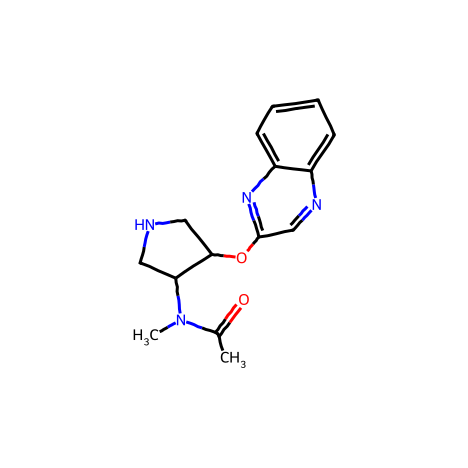 CC(=O)N(C)C1CNCC1Oc1cnc2ccccc2n1